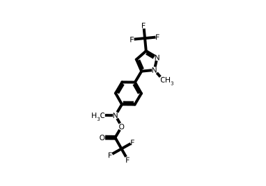 CN(OC(=O)C(F)(F)F)c1ccc(-c2cc(C(F)(F)F)nn2C)cc1